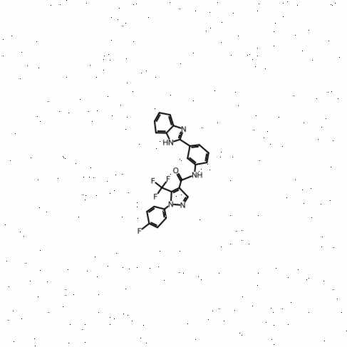 O=C(Nc1cccc(-c2nc3ccccc3[nH]2)c1)c1cnn(-c2ccc(F)cc2)c1C(F)(F)F